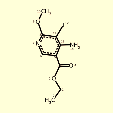 CCOC(=O)c1cnc(OC)c(I)c1N